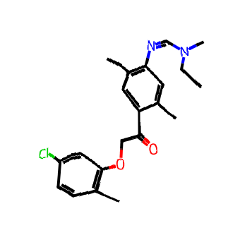 CCN(C)/C=N\c1cc(C)c(C(=O)COc2cc(Cl)ccc2C)cc1C